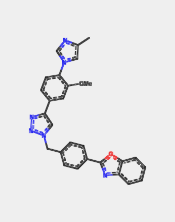 COc1cc(-c2cn(Cc3ccc(-c4nc5ccccc5o4)cc3)nn2)ccc1-n1cnc(C)c1